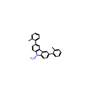 Cc1ccccc1-c1ccc2c(c1)c1cc(-c3ccccc3C)ccc1n2N